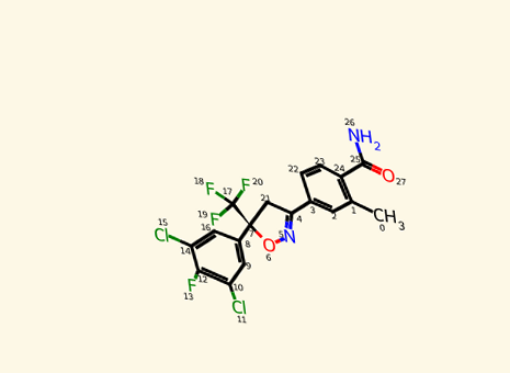 Cc1cc(C2=NO[C@@](c3cc(Cl)c(F)c(Cl)c3)(C(F)(F)F)C2)ccc1C(N)=O